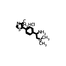 Cc1ncsc1-c1ccc(C(N)CN(C)C)cc1.Cl